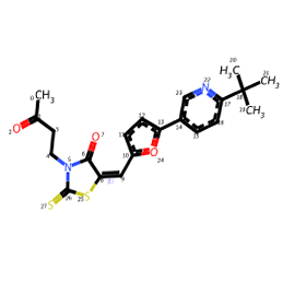 CC(=O)CCN1C(=O)/C(=C\c2ccc(-c3ccc(C(C)(C)C)nc3)o2)SC1=S